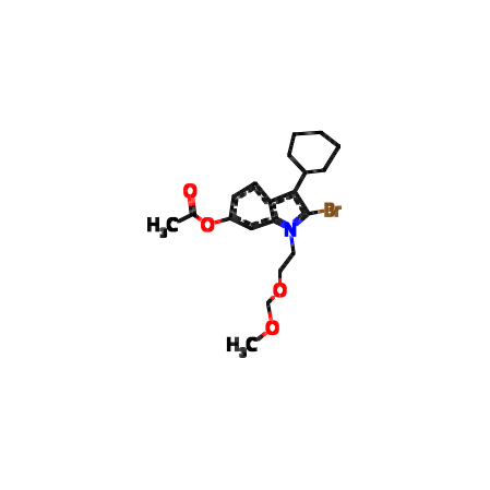 COCOCCn1c(Br)c(C2CCCCC2)c2ccc(OC(C)=O)cc21